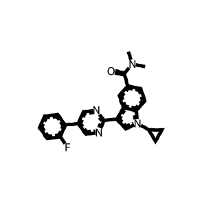 CN(C)C(=O)c1ccc2c(c1)c(-c1ncc(-c3ccccc3F)cn1)cn2C1CC1